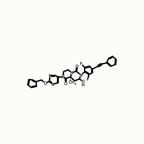 C[C@@]12CC(O)N(c3c(F)cc(C#Cc4ccccc4)cc3F)C(=O)N1CCN(c1cnc(OCc3ccccc3)nc1)C2=O